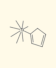 [CH3][Ti]([CH3])([CH3])([CH3])([CH3])([CH3])([CH3])[C]1=CC=CC1